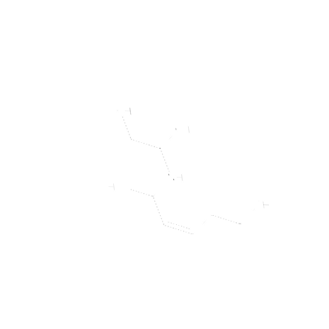 CCC/C=C\C(C)NC(C)CC